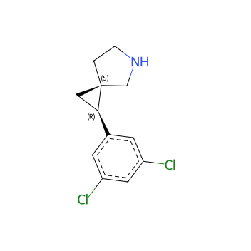 Clc1cc(Cl)cc([C@H]2C[C@]23CCNC3)c1